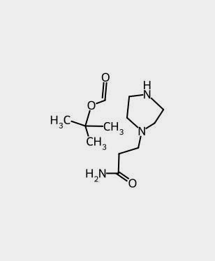 CC(C)(C)OC=O.NC(=O)CCN1CCNCC1